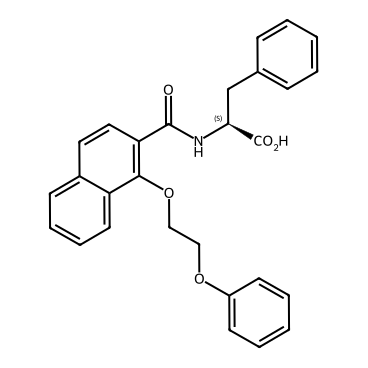 O=C(N[C@@H](Cc1ccccc1)C(=O)O)c1ccc2ccccc2c1OCCOc1ccccc1